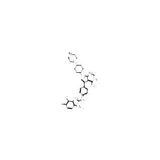 CN1CCN([C@H]2CC[C@@H](n3cc(-c4ccc(Nc5nc6c(Cl)c(Cl)ccc6n5C)cc4)c4c(N)ncnc43)CC2)CC1